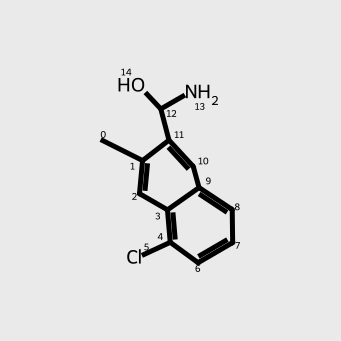 Cc1cc2c(Cl)cccc2cc1C(N)O